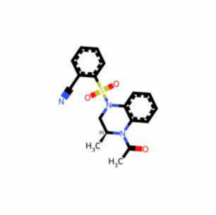 CC(=O)N1c2ccccc2N(S(=O)(=O)c2ccccc2C#N)C[C@@H]1C